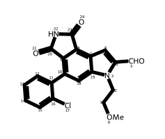 COCCn1c(C=O)cc2c3c(c(-c4ccccc4Cl)cc21)C(=O)NC3=O